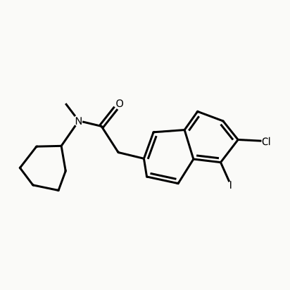 CN(C(=O)Cc1ccc2c(I)c(Cl)ccc2c1)C1CCCCC1